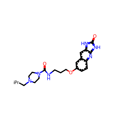 CC(C)CN1CCN(C(=O)NCCCOc2ccc3nc4[nH]c(=O)[nH]c4cc3c2)CC1